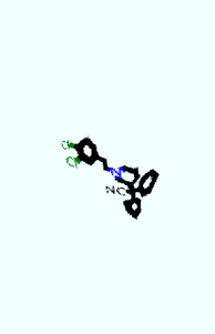 N#CC(c1ccccc1)(c1ccccc1)C1CCCN(CCc2ccc(Cl)c(Cl)c2)C1